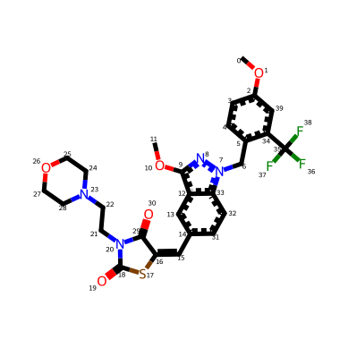 COc1ccc(Cn2nc(OC)c3cc(C=C4SC(=O)N(CCN5CCOCC5)C4=O)ccc32)c(C(F)(F)F)c1